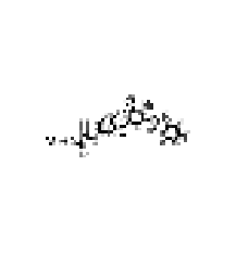 COC(=O)NCc1ccc(Cn2c(C)cc(OCc3ccc(F)cc3F)c(Br)c2=O)cc1